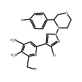 CCc1nn(N2CCOCC2c2ccc(F)cc2)cc1-c1cc(N)c([N+](=O)[O-])c(CC(C)C)n1